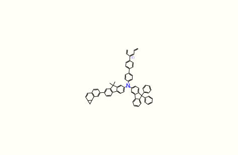 C=C/C=C(\C=C)c1ccc(-c2ccc(N(c3ccc4c(c3)-c3ccccc3C4(c3ccccc3)c3ccccc3)c3ccc4c(c3)C(C)(C)c3cc(-c5ccc6c(c5)C5CC5C=C6)ccc3-4)cc2)cc1